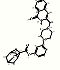 O=C(Oc1cccc(N2CCN(Cc3nc4ccccc4c(=O)[nH]3)CC2)c1)C12CC3CC(CC1C3)C2